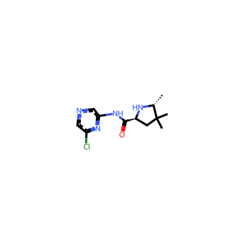 C[C@H]1N[C@H](C(=O)Nc2cncc(Cl)n2)CC1(C)C